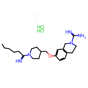 CCCCCC(=N)N1CCC(COc2ccc3c(c2)CN(C(=N)N)CC3)CC1.Cl.Cl